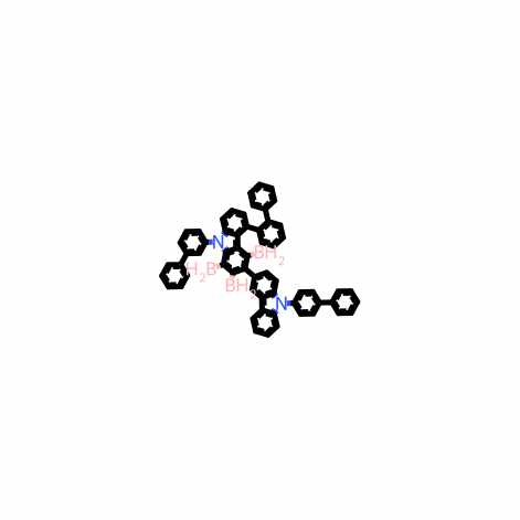 Bc1c(-c2ccc3c(c2)c2ccccc2n3-c2ccc(-c3ccccc3)cc2)c(B)c2c3c(-c4ccccc4-c4ccccc4)cccc3n(-c3cccc(-c4ccccc4)c3)c2c1B